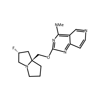 CNc1nc(OC[C@@]23CCCN2C[C@H](F)C3)nc2ccncc12